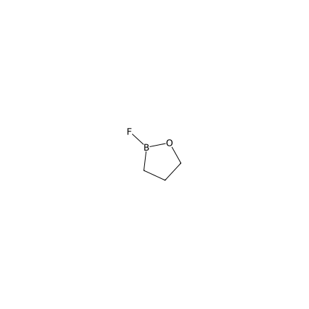 FB1CCCO1